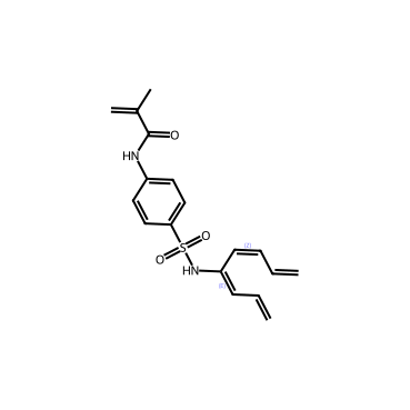 C=C/C=C\C(=C/C=C)NS(=O)(=O)c1ccc(NC(=O)C(=C)C)cc1